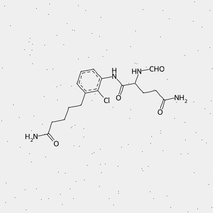 NC(=O)CCCCc1cccc(NC(=O)C(CCC(N)=O)NC=O)c1Cl